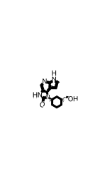 O=c1[nH]c2cnc3[nH]ccc3c2n1[C@@H]1CCC[C@@H](CO)C1